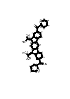 N#CC(C#N)=C1c2cc(C(=O)c3ccccn3)ccc2-c2cc3c(cc21)C(=C(C#N)C#N)c1cc(C(=O)c2ccccn2)ccc1-3